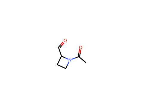 CC(=O)N1CCC1[C]=O